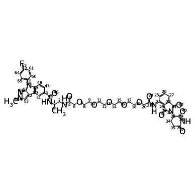 C[C@H](CNC(=O)COCCOCCOCCOCCOCC(=O)Nc1cccc2c1C(=O)N(C1CCC(=O)NC1=O)C2=O)NC(=O)c1ccc2c(c1)c1cn(C)nc1n2-c1ccc(F)cc1